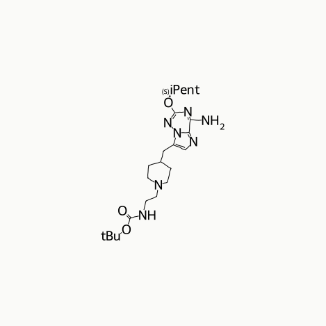 CCC[C@H](C)Oc1nc(N)c2ncc(CC3CCN(CCNC(=O)OC(C)(C)C)CC3)n2n1